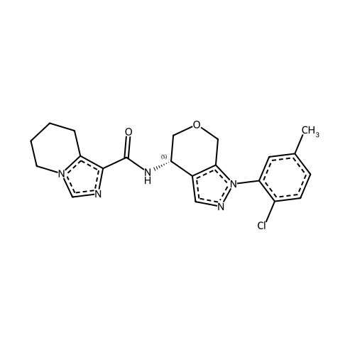 Cc1ccc(Cl)c(-n2ncc3c2COC[C@H]3NC(=O)c2ncn3c2CCCC3)c1